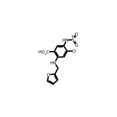 O=C(O)c1cc(N[SH](=O)=O)c(Cl)cc1NCc1ccco1